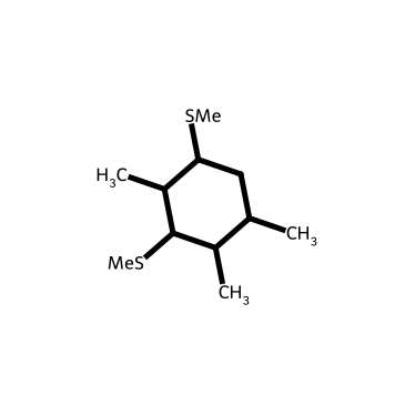 CSC1CC(C)C(C)C(SC)C1C